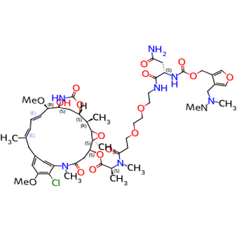 CNN(C)Cc1cocc1COC(=O)N[C@@H](CC(N)=O)C(=O)NCCOCCOCCC(=O)N(C)[C@@H](C)C(=O)O[C@H]1CC(=O)N(C)c2cc(cc(OC)c2Cl)C/C(C)=C/C=C/[C@@H](OC)[C@@]2(O)C[C@H](OC(=O)N2)[C@@H](C)C2O[C@]21C